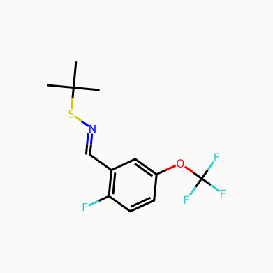 CC(C)(C)SN=Cc1cc(OC(F)(F)F)ccc1F